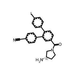 N#Cc1ccc(-c2cc(C(=O)N3CC[C@H](N)C3)ccc2-c2ccc(I)cc2)cc1